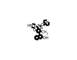 Cc1c(-c2cc(O)cc3ccccc23)ccc2c(N3CCNCC3=O)nc(OCC34CCCN3CCC4)nc12